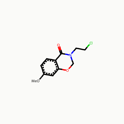 COc1ccc2c(c1)OCN(CCCl)C2=O